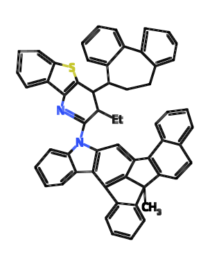 CCC1C(n2c3ccccc3c3c4c5c(cc32)-c2c(ccc3ccccc23)C5(C)c2ccccc2-4)=Nc2c(sc3ccccc23)C1C1CCc2ccccc2-c2ccccc21